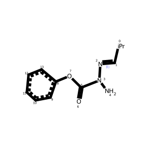 CC(C)/C=N/N(N)C(=O)Oc1ccccc1